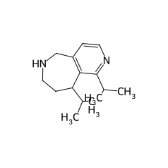 CC(C)c1nccc2c1C(C(C)C)CCNC2